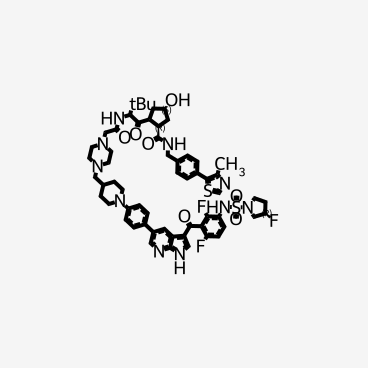 Cc1ncsc1-c1ccc(CNC(=O)[C@@H]2C[C@@H](O)CC2C(=O)C(NC(=O)CN2CCN(CC3CCN(c4ccc(-c5cnc6[nH]cc(C(=O)c7c(F)ccc(NS(=O)(=O)N8CC[C@@H](F)C8)c7F)c6c5)cc4)CC3)CC2)C(C)(C)C)cc1